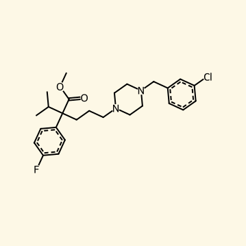 COC(=O)C(CCCN1CCN(Cc2cccc(Cl)c2)CC1)(c1ccc(F)cc1)C(C)C